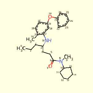 CCCC(CCC(=O)N(C)C1CCCCC1)Nc1cc(Oc2ccccc2)ccc1C